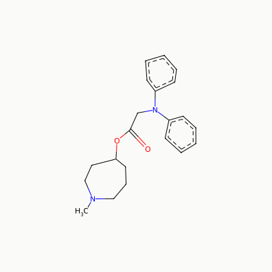 CN1CCCC(OC(=O)CN(c2ccccc2)c2ccccc2)CC1